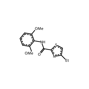 CCc1csc(C(=O)Nc2c(OC)cccc2OC)n1